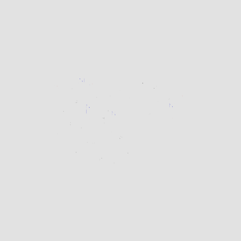 NC(=O)C(Cc1ccccc1)NC(=O)C(Cc1ccc([N+](=O)[O-])cc1)NC(=O)c1ccccc1